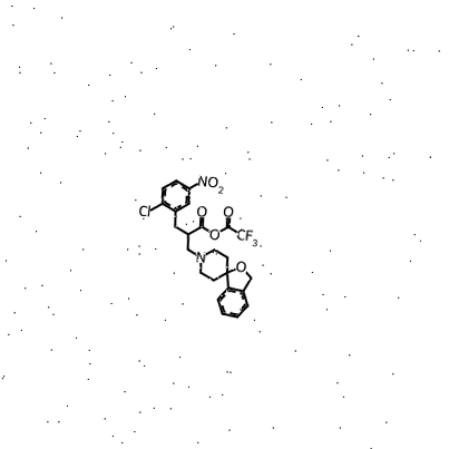 O=C(OC(=O)C(F)(F)F)C(Cc1cc([N+](=O)[O-])ccc1Cl)CN1CCC2(CC1)OCc1ccccc12